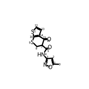 Cc1cc(NC(=O)C2CSc3sccc3C2=O)no1